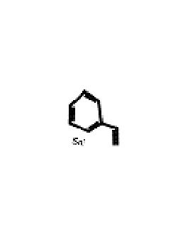 C=Cc1ccccc1.[Sn]